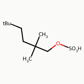 CC(C)(C)CCC(C)(C)COS(=O)(=O)O